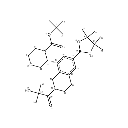 CC(C)(C)OC(=O)N1CCOC[C@H]1c1cc(B2OC(C)(C)C(C)(C)O2)cc2c1CN(C(=O)C(C)(C)O)CC2